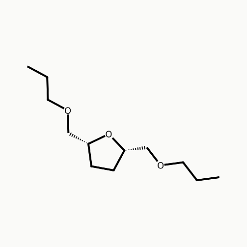 CCCOC[C@H]1CC[C@@H](COCCC)O1